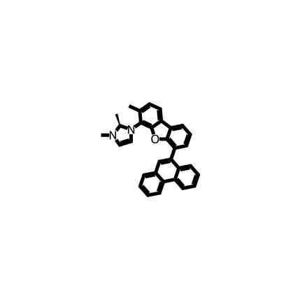 Cc1ccc2c(oc3c(-c4cc5ccccc5c5ccccc45)cccc32)c1N1C=CN(C)[C@H]1C